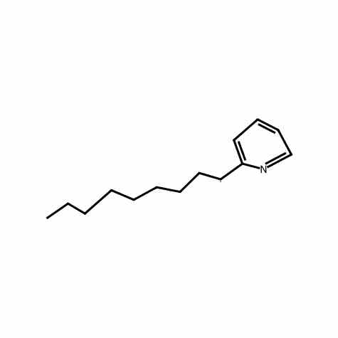 CCCCCCCC[CH]c1ccccn1